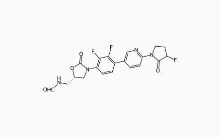 O=CNC[C@H]1CN(c2ccc(-c3ccc(N4CCC(F)C4=O)nc3)c(F)c2F)C(=O)O1